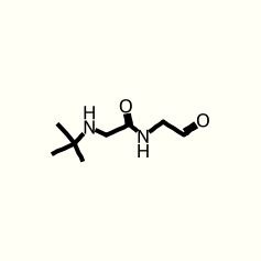 CC(C)(C)NCC(=O)NCC=O